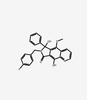 COc1c2c(c(O)c3ncccc13)C(=O)N(Cc1ccc(F)cc1)C2(O)c1ccccc1